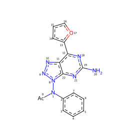 CC(=O)N(c1ccccc1)n1nnc2c(-c3ccco3)nc(N)nc21